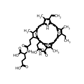 C=Cc1c(C)c2cc3nc(c(CC(=O)O)c4[nH]c(cc5nc(cc1[nH]2)C(C)=C5CC)c(C)c4C(=O)O)C(CCC(=O)NC(CCC(=O)O)C(=O)O)C3C